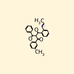 C/C=C/c1ccccc1C(=O)C(C(=O)c1ccccc1)C(=O)c1cccc(C)c1